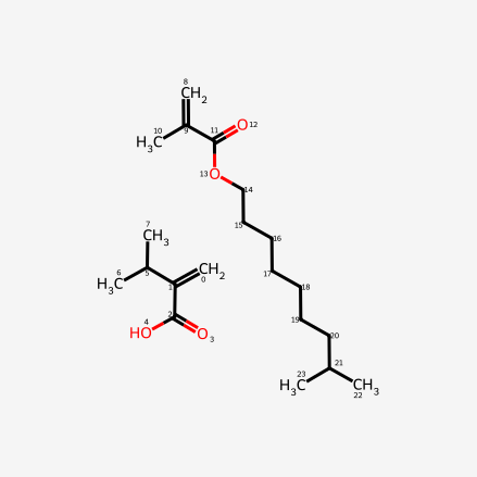 C=C(C(=O)O)C(C)C.C=C(C)C(=O)OCCCCCCCC(C)C